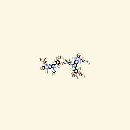 C=CC(=O)N[C@H]1COC[C@H]1Nc1cc2c(N3CC(N(C)CCOc4cc(OC)c(Cl)c(-c5cc6cnc(N[C@@H]7COC[C@@H]7NC(=O)C=C)cc6c(N6CC(F)(F)C6)n5)c4Cl)C3)nc(-c3c(Cl)c(OC)cc(OC)c3Cl)cc2cn1